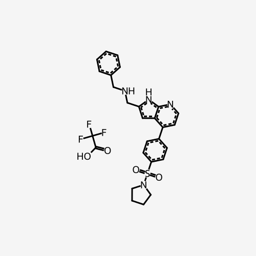 O=C(O)C(F)(F)F.O=S(=O)(c1ccc(-c2ccnc3[nH]c(CNCc4ccccc4)cc23)cc1)N1CCCC1